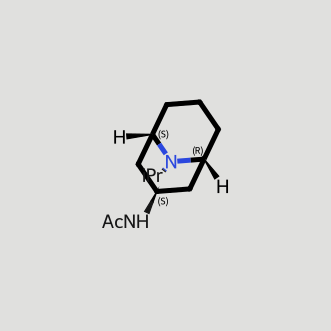 CC(=O)N[C@@H]1C[C@H]2CCC[C@@H](C1)N2C(C)C